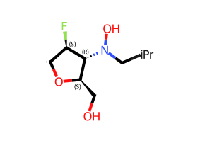 CC(C)CN(O)[C@H]1[C@H](F)[CH]O[C@@H]1CO